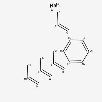 C=CC.C=CC.C=CC.C=CC.[NaH].c1ccccc1